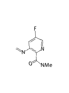 C=Nc1cc(F)cnc1C(=O)NC